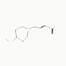 COC1CCN(CC=CC(=O)O)CC1.Cl